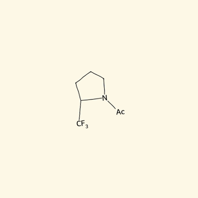 CC(=O)N1CCCC1C(F)(F)F